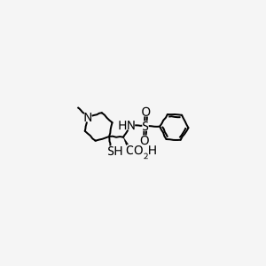 CN1CCC(S)([C@@H](NS(=O)(=O)c2ccccc2)C(=O)O)CC1